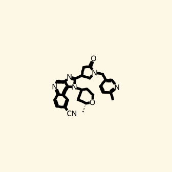 Cc1ccc(CN2CC(c3nc4cnc5ccc(C#N)cc5c4n3C3CCO[C@H](C)C3)CC2=O)cn1